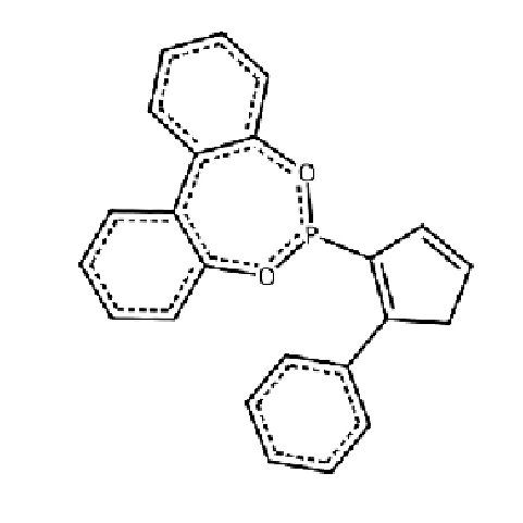 C1=CC(p2oc3ccccc3c3ccccc3o2)=C(c2ccccc2)C1